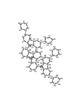 c1ccc(-c2ccc3c(c2)c2cc(-c4ccccc4)ccc2n3-c2cccc3c2c2cccc4c5c(-n6c7ccc(-c8ccccc8)cc7c7cc(-c8ccccc8)ccc76)cccc5n3c24)cc1